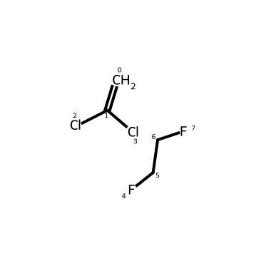 C=C(Cl)Cl.FCCF